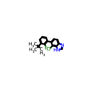 CC(C)(C)c1cccc(-c2ccc3nc[nH]c3c2Cl)c1F